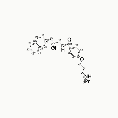 CC(C)NCCCOc1ccc(C(=O)NCC(O)CN2CCc3ccccc3C2)cc1